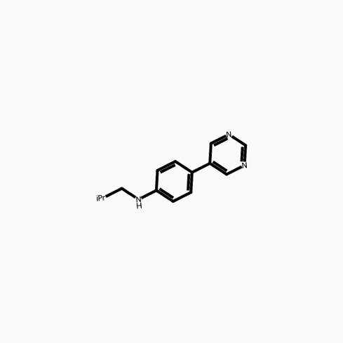 CC(C)CNc1ccc(-c2cncnc2)cc1